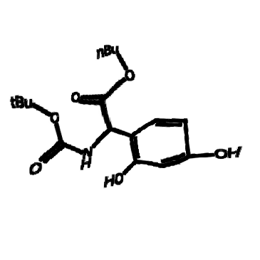 CCCCOC(=O)C(NC(=O)OC(C)(C)C)c1ccc(O)cc1O